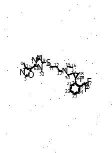 Cc1ncoc1-c1nnc(SCCCN2CC[C@@]3(C[C@H]3c3ccccc3C(F)(F)F)C2)n1C